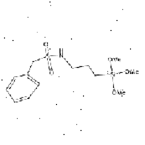 CO[Si](CCCNS(=O)(=O)Cc1ccccc1)(OC)OC